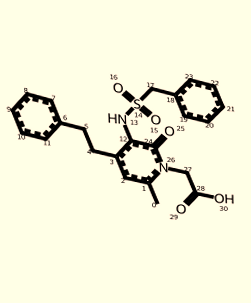 Cc1cc(CCc2ccccc2)c(NS(=O)(=O)Cc2ccccc2)c(=O)n1CC(=O)O